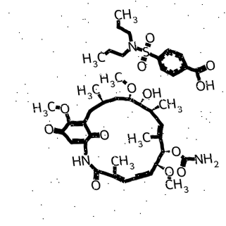 CCCN(CCC)S(=O)(=O)c1ccc(C(=O)O)cc1.COC1=C2C[C@@H](C)C[C@H](OC)[C@H](O)[C@@H](C)/C=C(\C)[C@H](OC(N)=O)[C@@H](OC)/C=C\C=C(/C)C(=O)NC(=CC1=O)C2=O